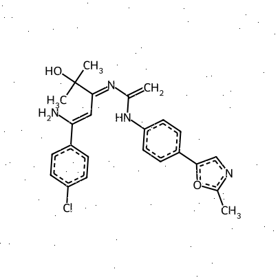 C=C(/N=C(\C=C(/N)c1ccc(Cl)cc1)C(C)(C)O)Nc1ccc(-c2cnc(C)o2)cc1